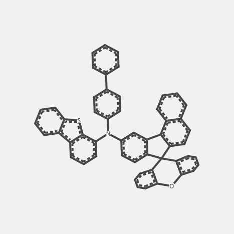 c1ccc(-c2ccc(N(c3ccc4c(c3)-c3c(ccc5ccccc35)C43c4ccccc4Oc4ccccc43)c3cccc4c3sc3ccccc34)cc2)cc1